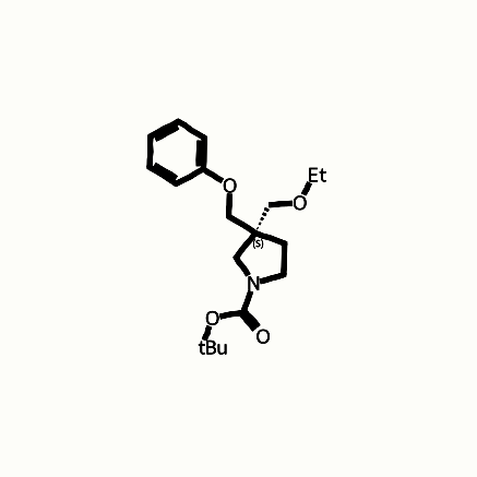 CCOC[C@]1(COc2ccccc2)CCN(C(=O)OC(C)(C)C)C1